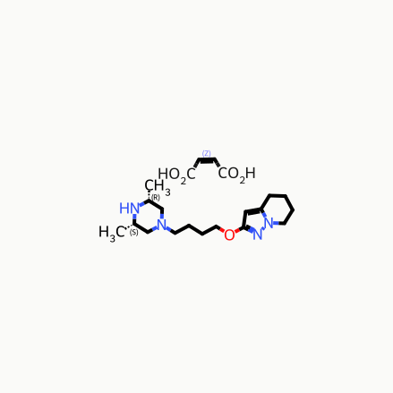 C[C@@H]1CN(CCCCOc2cc3n(n2)CCCC3)C[C@H](C)N1.O=C(O)/C=C\C(=O)O